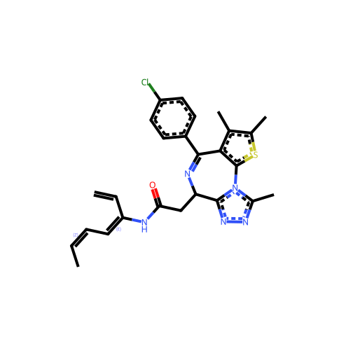 C=C/C(=C\C=C/C)NC(=O)CC1N=C(c2ccc(Cl)cc2)c2c(sc(C)c2C)-n2c(C)nnc21